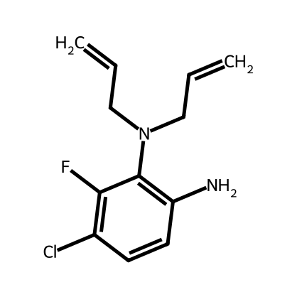 C=CCN(CC=C)c1c(N)ccc(Cl)c1F